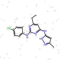 CCc1cc(Nc2cc(C)n[nH]2)nc(Nc2ccc(Cl)cc2)n1